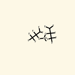 C[SiH](OC(F)(C(F)F)C(F)(F)F)OC(F)(C(F)F)C(F)(F)F